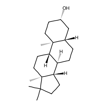 CC1(C)CC[C@H]2[C@@H]3CC[C@H]4C[C@@H](O)CC[C@]4(C)[C@H]3CC[C@@]21C